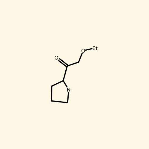 CCOCC(=O)C1CCC[N]1